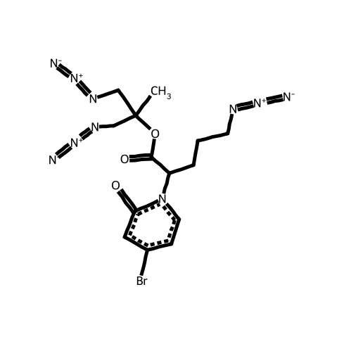 CC(CN=[N+]=[N-])(CN=[N+]=[N-])OC(=O)C(CCCN=[N+]=[N-])n1ccc(Br)cc1=O